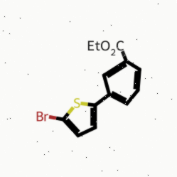 CCOC(=O)c1cccc(-c2ccc(Br)s2)c1